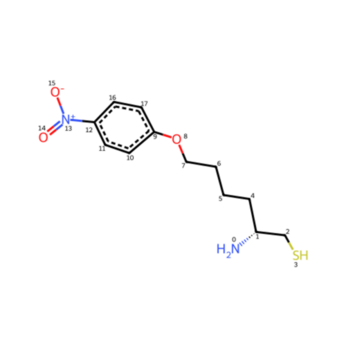 N[C@@H](CS)CCCCOc1ccc([N+](=O)[O-])cc1